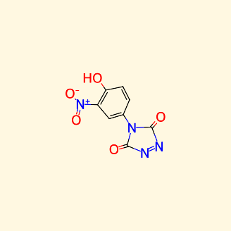 O=C1N=NC(=O)N1c1ccc(O)c([N+](=O)[O-])c1